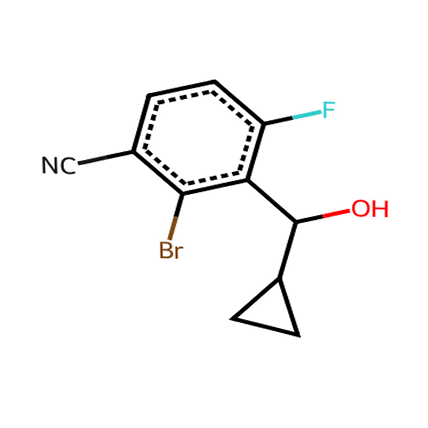 N#Cc1ccc(F)c(C(O)C2CC2)c1Br